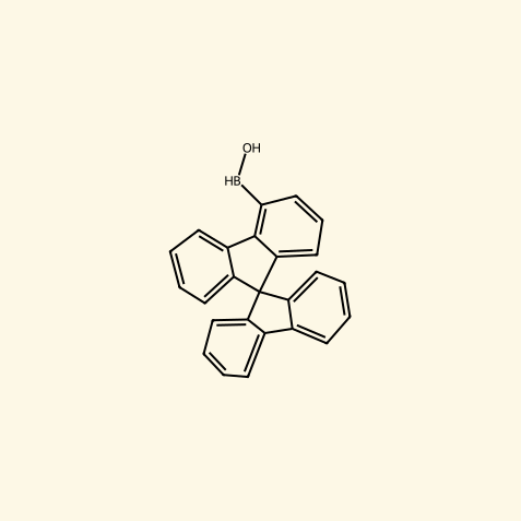 OBc1cccc2c1-c1ccccc1C21c2ccccc2-c2ccccc21